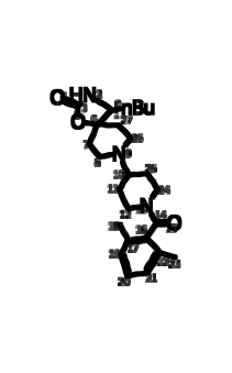 CCCCC1NC(=O)OC12CCN(C1CCN(C(=O)c3c(C)cccc3C)CC1)CC2